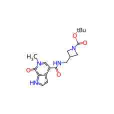 Cn1cc(C(=O)NCC2CN(C(=O)OC(C)(C)C)C2)c2cc[nH]c2c1=O